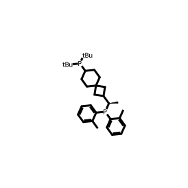 Cc1ccccc1P(c1ccccc1C)[C@H](C)C1CC2(CCC(P(C(C)(C)C)C(C)(C)C)CC2)C1